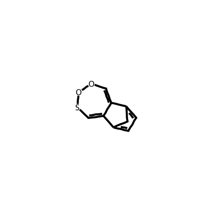 C1=C2CC(=C1)c1csoocc12